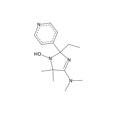 CCC1(c2ccncc2)N=C(N(C)C)C(C)(C)N1O